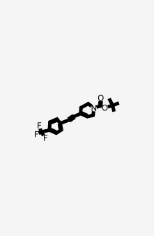 CC(C)(C)OC(=O)N1CC=C(C#Cc2ccc(C(F)(F)F)cc2)CC1